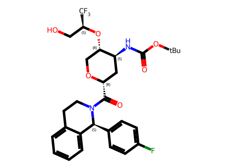 CC(C)(C)OC(=O)N[C@H]1C[C@H](C(=O)N2CCc3ccccc3[C@@H]2c2ccc(F)cc2)OC[C@@H]1O[C@@H](CO)C(F)(F)F